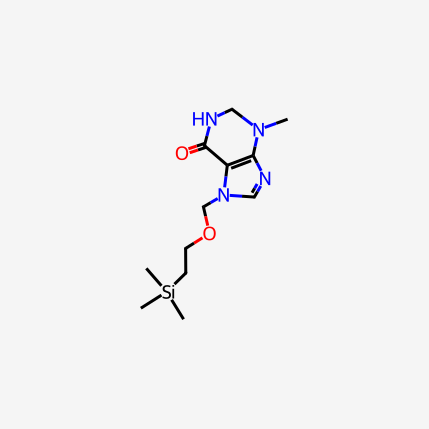 CN1CNC(=O)c2c1ncn2COCC[Si](C)(C)C